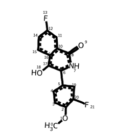 COc1ccc(-c2[nH]c(=O)c3cc(F)ccc3c2O)cc1F